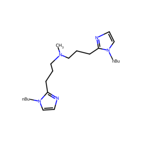 CCCCn1ccnc1CCCN(C)CCCc1nccn1CCCC